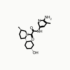 Cc1cc(NC(=O)C(=O)N2C[C@H](C)CCC2[C@H]2CC[C@@H](O)CC2)cnc1N